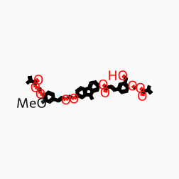 C=C(C)C(=O)OCOc1ccc(C=CC(=O)Oc2ccc3c(c2)C(C)c2cc(OCOC=Cc4ccc(OCOC(=O)C(=C)C)c(OC)c4)ccc2-3)cc1CO